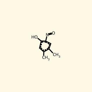 Cc1cc(O)c(N=O)cc1C